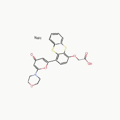 O=C(O)COc1ccc(-c2cc(=O)cc(N3CCOCC3)o2)c2c1Sc1ccccc1S2.[NaH]